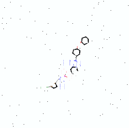 O=C(NCc1ccc(Cl)s1)Oc1ccc2nc(-c3ccc(Oc4ccccc4)cc3)[nH]c2c1